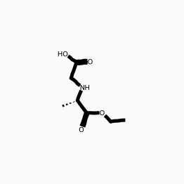 CCOC(=O)[C@H](C)NCC(=O)O